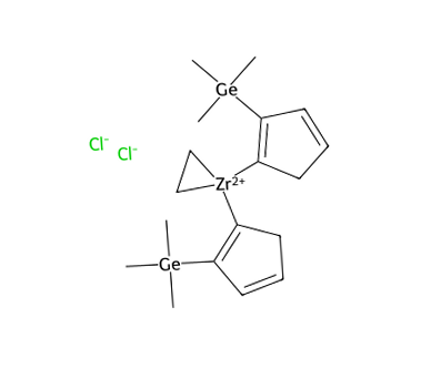 [CH3][Ge]([CH3])([CH3])[C]1=[C]([Zr+2]2([C]3=[C]([Ge]([CH3])([CH3])[CH3])C=CC3)[CH2][CH2]2)CC=C1.[Cl-].[Cl-]